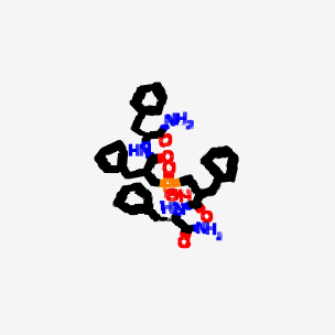 NC(=O)[C@H](Cc1ccccc1)NC(=O)C(Cc1ccccc1)CP(=O)(O)CC(Cc1ccccc1)C(=O)N[C@@H](Cc1ccccc1)C(N)=O